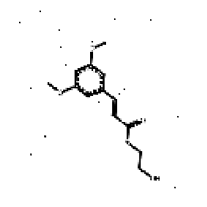 COc1cc(C=CC(=O)CCCO)cc(OC)c1